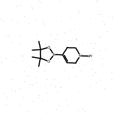 CC(C)N1CC=C(B2OC(C)(C)C(C)(C)O2)CC1